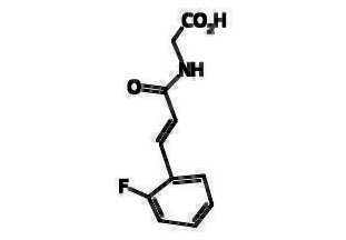 O=C(O)CNC(=O)C=Cc1ccccc1F